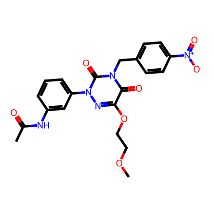 COCCOc1nn(-c2cccc(NC(C)=O)c2)c(=O)n(Cc2ccc([N+](=O)[O-])cc2)c1=O